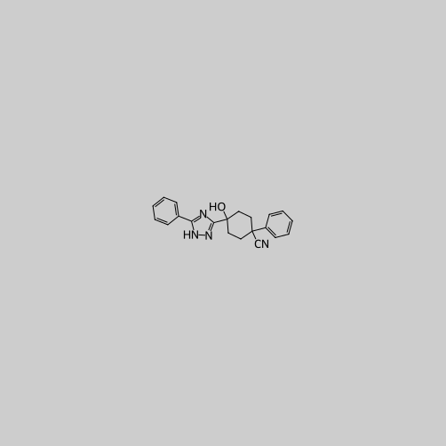 N#CC1(c2ccccc2)CCC(O)(c2n[nH]c(-c3ccccc3)n2)CC1